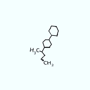 C=CCC(C)C1CCC(C2CCCCC2)CC1